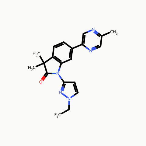 Cc1cnc(-c2ccc3c(c2)N(c2ccn(CC(F)(F)F)n2)C(=O)C3(C)C)cn1